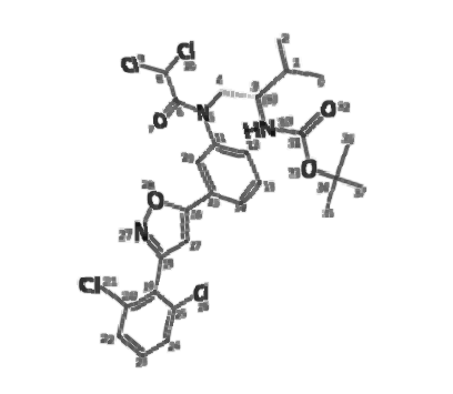 CC(C)[C@@H](CN(C(=O)C(Cl)Cl)c1cccc(-c2cc(-c3c(Cl)cccc3Cl)no2)c1)NC(=O)OC(C)(C)C